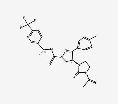 CC(=O)N1CCN([C@H]2CN(C(=O)N[C@H](C)c3ccc(C(F)(F)F)nc3)N=C2c2ccc(C)cc2)C1=O